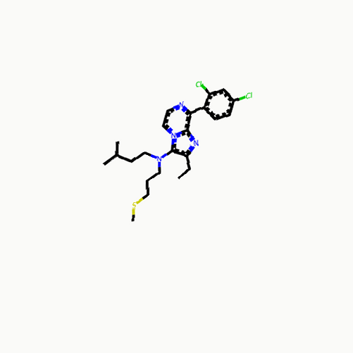 CCc1nc2c(-c3ccc(Cl)cc3Cl)nccn2c1N(CCCSC)CCC(C)C